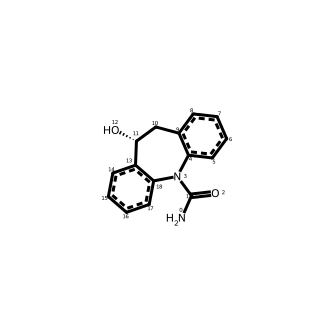 NC(=O)N1c2ccccc2C[C@@H](O)c2ccccc21